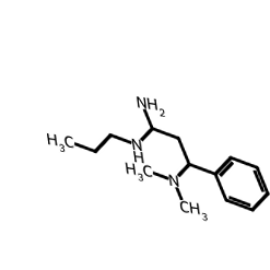 CCCNC(N)CC(c1ccccc1)N(C)C